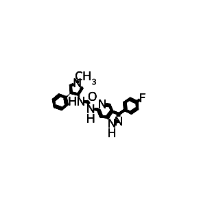 CN1C[C@@H](NC(=O)Nc2cc3[nH]nc(-c4ccc(F)cc4)c3cn2)[C@H](c2ccccc2)C1